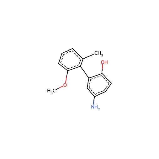 COc1cccc(C)c1-c1cc(N)ccc1O